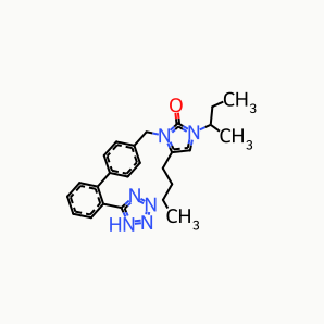 CCCCc1cn(C(C)CC)c(=O)n1Cc1ccc(-c2ccccc2-c2nnn[nH]2)cc1